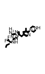 CCC[C@@H](Nc1nc(N)c2ncc(Cc3cnc(N4CCNCC4)c(C)c3)n2n1)C(F)F